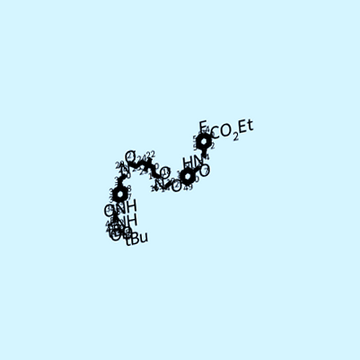 CCOC(=O)c1cc(CNC(=O)c2ccc(OCCN(C)C(=O)CCC(C)(C)CCC(=O)N(C)CCc3ccc(NC(=O)[C@H](CC(C)(C)C)NC(=O)OC(C)(C)C)cc3)cc2)ccc1F